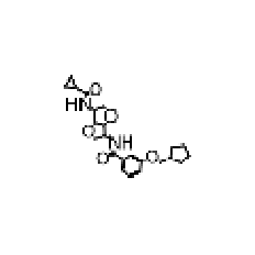 O=C(NC1COC2C(NC(=O)C3CC3)COC12)c1cccc(OCC2CCCC2)c1